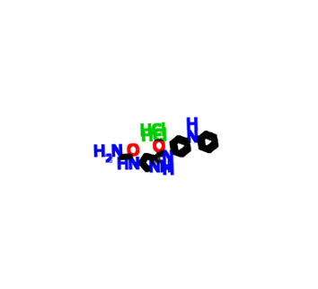 Cl.Cl.NCC(=O)NC1CN[C@H](C(=O)Nc2ccc(Nc3ccccc3)cc2)C1